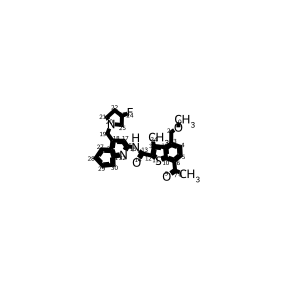 COCc1ccc(C(C)=O)c2sc(C(=O)Nc3cc(CN4CCC(F)C4)c4ccccc4n3)c(C)c12